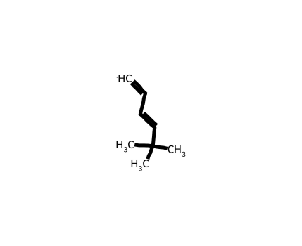 [CH]=CC=CC(C)(C)C